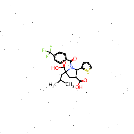 CC(C)CC1(C(=O)O)CC(C(=O)O)C(c2cccs2)N1C(=O)c1ccc(C(F)(F)F)cc1